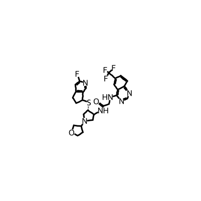 O=C(CNc1ncnc2ccc(C(F)(F)F)cc12)NC1CN(C2CCOC2)C[C@@H]1SC1CCc2cc(F)ncc21